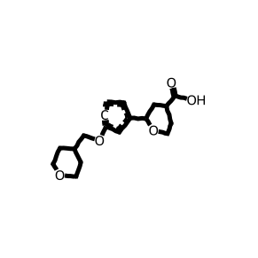 O=C(O)C1CCOC(c2cccc(OCC3CCOCC3)c2)C1